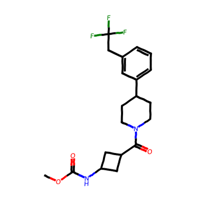 COC(=O)NC1CC(C(=O)N2CCC(c3cccc(CC(F)(F)F)c3)CC2)C1